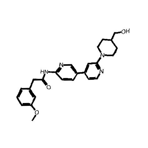 COc1cccc(CC(=O)Nc2ccc(-c3ccnc(N4CCC(CO)CC4)c3)cn2)c1